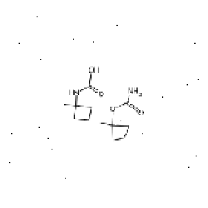 CC1(NC(=O)O)CCC1.CC1(OC(N)=O)CCC1